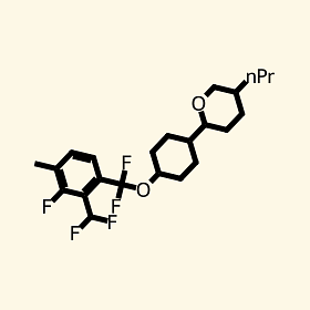 CCCC1CCC(C2CCC(OC(F)(F)c3ccc(C)c(F)c3C(F)F)CC2)OC1